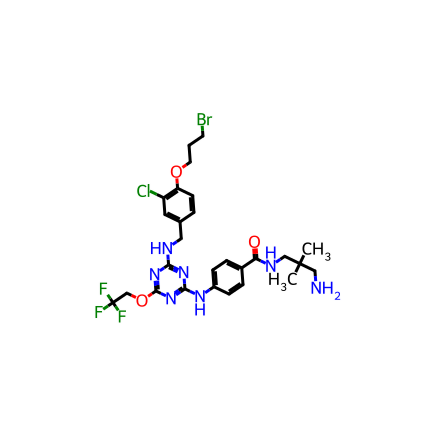 CC(C)(CN)CNC(=O)c1ccc(Nc2nc(NCc3ccc(OCCCBr)c(Cl)c3)nc(OCC(F)(F)F)n2)cc1